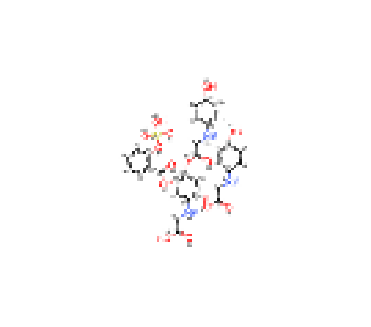 O=C(O)CNc1ccc(O)cc1.O=C(O)CNc1ccc(OC(=O)CNc2ccc(O)cc2)cc1.O=C(O)c1ccccc1OS(=O)(=O)O